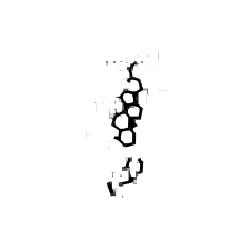 C[C@@H]1CC([C@H](O)C(C)(C)O)OC2[C@H]1C1(C)CCC34CC35CCC(O[C@H]3CN(C(=O)c6nccn6C)CCO3)C(C)(C)C5CCC4[C@]1(C)[C@H]2O